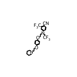 N#Cc1ccc(N(CCOc2ccc(OCCN3CCCCC3)cc2)CC(F)(F)F)cc1C(F)(F)F